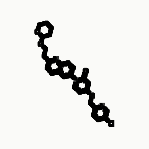 O=c1cc(OCc2ccc(Cl)cn2)ccn1-c1ccc2nc(CCOC3CCCCO3)ccc2c1